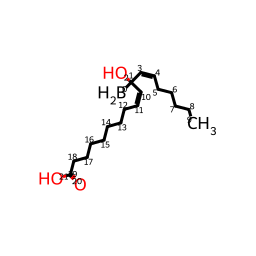 BC(O)(/C=C\CCCCC)/C=C\CCCCCCCC(=O)O